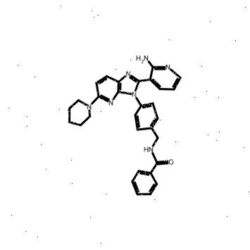 Nc1ncccc1-c1nc2ccc(N3CCCCC3)nc2n1-c1ccc(CNC(=O)c2ccccc2)cc1